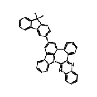 CC1(C)c2ccccc2-c2cc(-c3cc4c5c(c3)c3ccccc3n5-c3nc5ccccc5nc3-c3ccccc3-4)ccc21